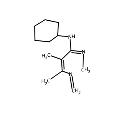 C=N/C(C)=C(C)\C(=N/C)NC1CCCCC1